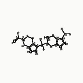 CC(=O)N1CCc2c(C(C)(C)C3Cc4onc(C(C)C)c4CN3)noc2C1